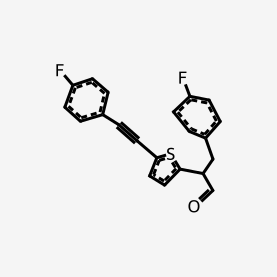 O=CC(Cc1ccc(F)cc1)c1ccc(C#Cc2ccc(F)cc2)s1